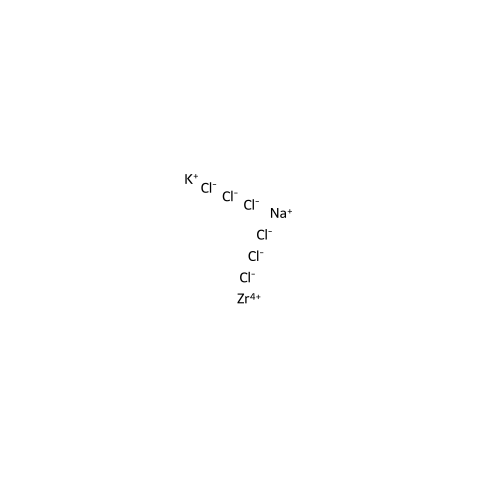 [Cl-].[Cl-].[Cl-].[Cl-].[Cl-].[Cl-].[K+].[Na+].[Zr+4]